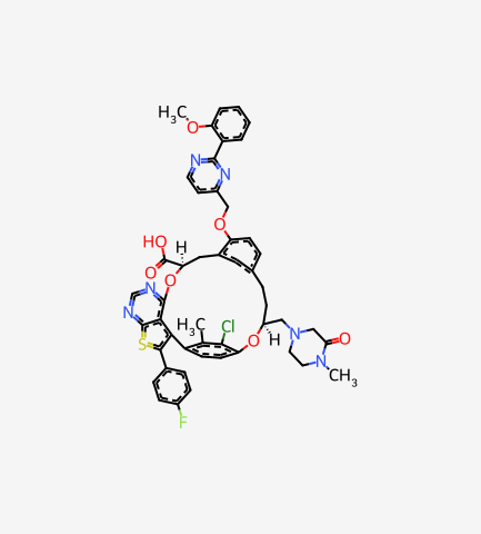 COc1ccccc1-c1nccc(COc2ccc3cc2C[C@H](C(=O)O)Oc2ncnc4sc(-c5ccc(F)cc5)c(c24)-c2ccc(c(Cl)c2C)O[C@H](CN2CCN(C)C(=O)C2)CC3)n1